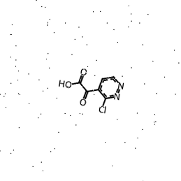 O=C(O)C(=O)c1ccnnc1Cl